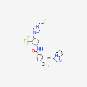 Cc1ccc(C(=O)Nc2ccc(CN3CCN(CCF)CC3)c(C(F)(F)F)c2)cc1C#Cc1cnc2ccccn12